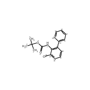 CC(C)(C)OC(=O)Nc1c(-c2ccccn2)ccnc1Cl